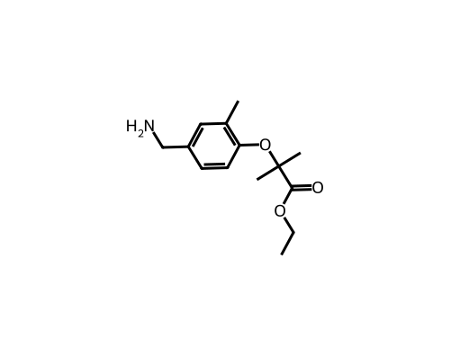 CCOC(=O)C(C)(C)Oc1ccc(CN)cc1C